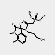 CCOP(=O)(CC1=NOC2(C(=O)N(C)c3c(F)cccc32)N1CCCO)OCC